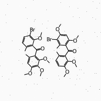 COc1cc(C)c(C(=O)c2c(C)ccc(Br)c2OC)c(OC)c1OC.COc1cc(OC)c(C(=O)c2c(C)ccc(OC)c2OC)c(C)c1Br